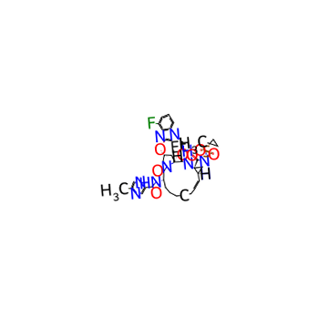 CCc1nc2cccc(F)c2nc1O[C@@H]1C[C@H]2C(=O)N[C@]3(C(=O)NS(=O)(=O)C4(C)CC4)C[C@H]3C=CCCCCC[C@H](NC(=O)c3cnc(C)cn3)C(=O)N2C1